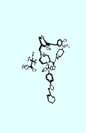 NC1CCN(C(=O)[C@@H]2CN(Cc3cnc(-c4ccc(Cl)cc4)s3)CCN2S(=O)(=O)c2ccc(OCC3CCCCC3)cc2)CC1.O=C(O)C(F)(F)F